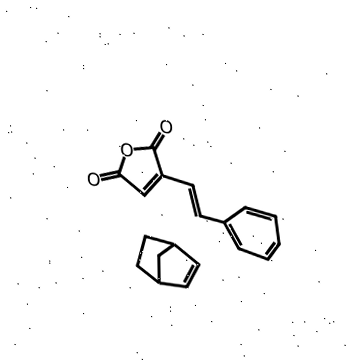 C1=CC2CCC1C2.O=C1C=C(C=Cc2ccccc2)C(=O)O1